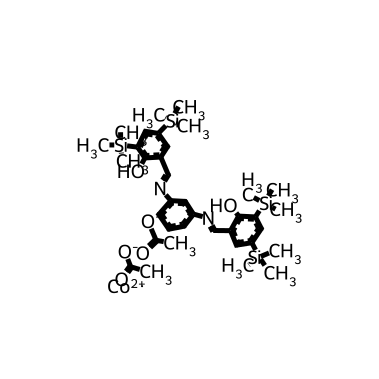 CC(=O)[O-].CC(=O)[O-].C[Si](C)(C)c1cc(C=Nc2cccc(N=Cc3cc([Si](C)(C)C)cc([Si](C)(C)C)c3O)c2)c(O)c([Si](C)(C)C)c1.[Co+2]